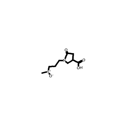 C[S+]([O-])CCCN1CC(C(=O)O)CC1=O